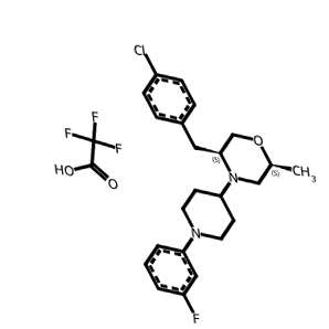 C[C@H]1CN(C2CCN(c3cccc(F)c3)CC2)[C@@H](Cc2ccc(Cl)cc2)CO1.O=C(O)C(F)(F)F